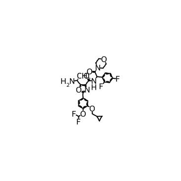 C[C@H](N)c1oc(-c2ccc(OC(F)F)c(OCC3CC3)c2)nc1C(=O)NC(C(=O)N1CCOCC1)c1ccc(F)cc1F